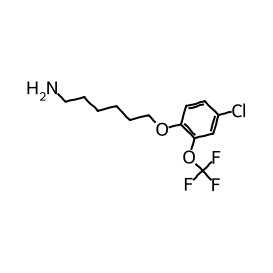 NCCCCCCOc1ccc(Cl)cc1OC(F)(F)F